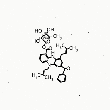 CC(C)=CCc1cc(C(=O)c2ccccc2)cc2c1Nc1c(C(=O)O[C@@H]3O[C@@H](C)[C@H](O)[C@@H](O)[C@H]3O)cccc1N2CC=C(C)C